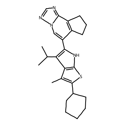 Cc1c(C2CCCCC2)sc2[nH]c(-c3cn4ncnc4c4c3CCC4)c(C(C)C)c12